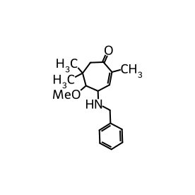 COC1C(NCc2ccccc2)C=C(C)C(=O)CC1(C)C